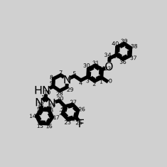 Cc1cc(CCN2CCC(Nc3nc4ccccc4n3Cc3ccc(F)cc3)CC2)ccc1OCc1ccccc1